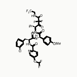 COc1ccc([C@H](NC(=O)[C@H](Cc2cccc(Cl)c2)NC(=O)c2ccc(OC(F)F)cn2)C(=O)N[C@H](C(=O)C(F)(F)C(=O)NCC(F)(F)F)C(C)C)cc1